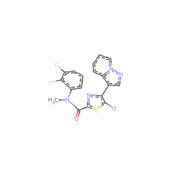 CN(C(=O)c1nc(-c2cnn3ccccc23)c(Cl)s1)c1cccc(F)c1F